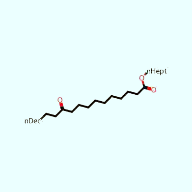 CCCCCCCCCCCCC(=O)CCCCCCCCCC(=O)OCCCCCCC